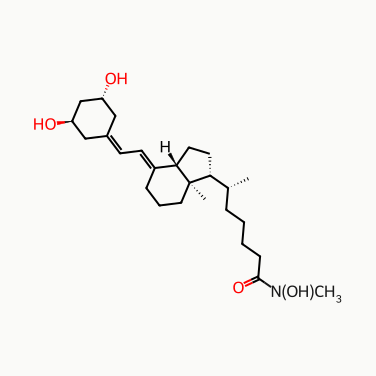 C[C@H](CCCCC(=O)N(C)O)[C@H]1CC[C@H]2/C(=C/C=C3C[C@@H](O)C[C@H](O)C3)CCC[C@]12C